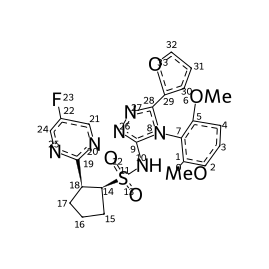 COc1cccc(OC)c1-n1c(NS(=O)(=O)[C@H]2CCC[C@H]2c2ncc(F)cn2)nnc1-c1ccco1